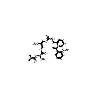 CCCCCCCCCCN(NC(=O)N(C)C)C(=O)OCC(COC(=O)NCC1=CC=CCN1C(=O)c1ccccc1OC)OC